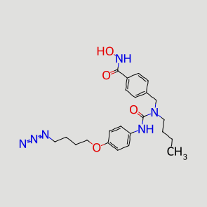 CCCCN(Cc1ccc(C(=O)NO)cc1)C(=O)Nc1ccc(OCCCCN=[N+]=[N-])cc1